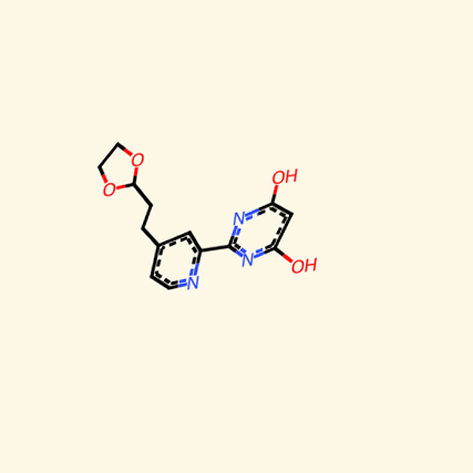 Oc1cc(O)nc(-c2cc(CCC3OCCO3)ccn2)n1